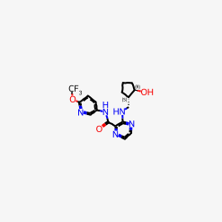 O=C(Nc1ccc(OC(F)(F)F)nc1)c1nccnc1NC[C@@H]1CCC[C@H]1O